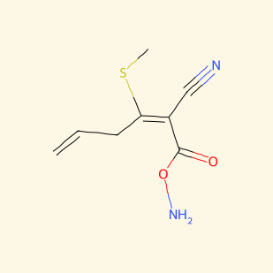 C=CCC(SC)=C(C#N)C(=O)ON